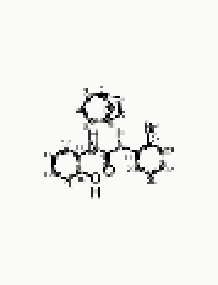 C1=Cc2cccc1c2.O=C(Nc1ccccc1O)Nc1ccccc1Br